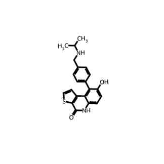 CC(C)NCc1ccc(-c2c(O)ccc3[nH]c(=O)c4sccc4c23)cc1